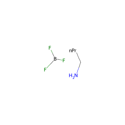 CCCCN.FB(F)F